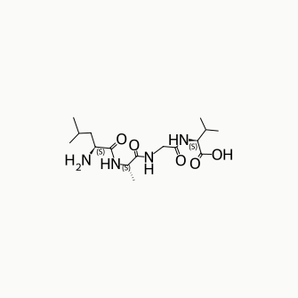 CC(C)C[C@H](N)C(=O)N[C@@H](C)C(=O)NCC(=O)N[C@H](C(=O)O)C(C)C